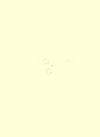 CC(C)(C)OC(=O)N1CCC2(C=C(c3cccc(C#N)c3)c3ccccc3O2)CC1